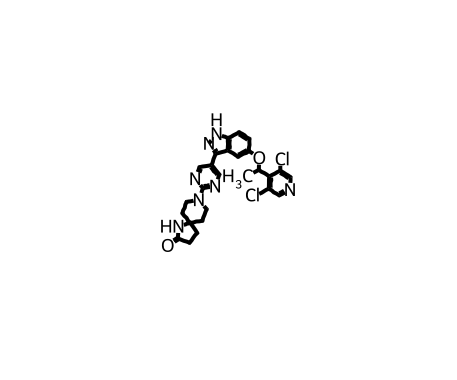 CC(Oc1ccc2[nH]nc(-c3cnc(N4CCC5(CCC(=O)N5)CC4)nc3)c2c1)c1c(Cl)cncc1Cl